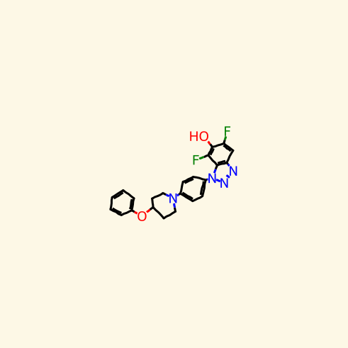 Oc1c(F)cc2nnn(-c3ccc(N4CCC(Oc5ccccc5)CC4)cc3)c2c1F